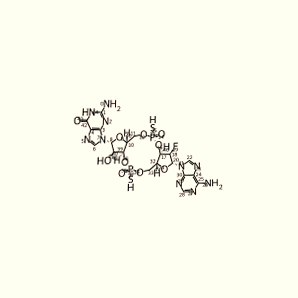 Nc1nc2c(ncn2[C@@H]2O[C@@H]3CO[P@](=O)(S)O[C@H]4[C@@H](F)[C@H](n5cnc6c(N)ncnc65)O[C@@H]4CO[P@@](=O)(S)O[C@H]3[C@H]2O)c(=O)[nH]1